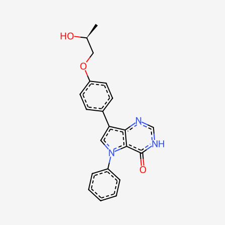 C[C@H](O)COc1ccc(-c2cn(-c3ccccc3)c3c(=O)[nH]cnc23)cc1